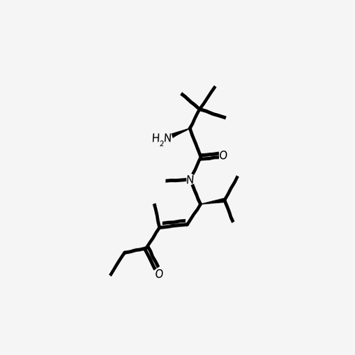 CCC(=O)/C(C)=C/[C@H](C(C)C)N(C)C(=O)[C@@H](N)C(C)(C)C